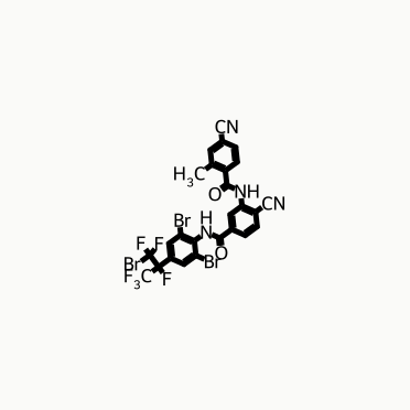 Cc1cc(C#N)ccc1C(=O)Nc1cc(C(=O)Nc2c(Br)cc(C(F)(C(F)(F)F)C(F)(F)Br)cc2Br)ccc1C#N